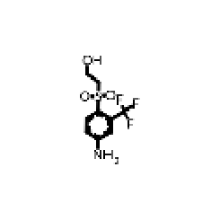 Nc1ccc(S(=O)(=O)CCO)c(C(F)(F)F)c1